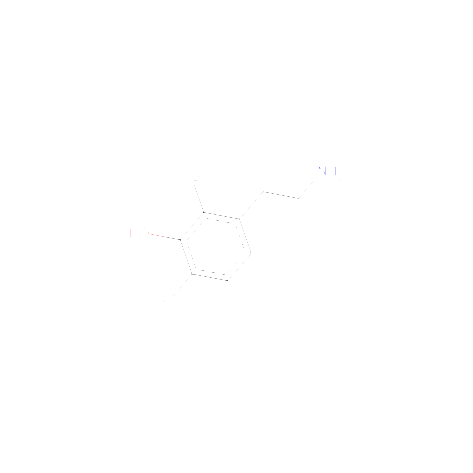 NCCc1ccc(Br)c(O)c1Br